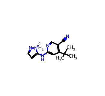 Cn1nccc1Nc1cc(C(C)(C)C)c(C#N)cn1